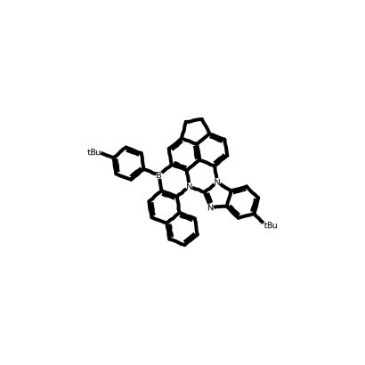 CC(C)(C)c1ccc(B2c3ccc4ccccc4c3-n3c4c2cc2c5c(ccc(c54)n4c5ccc(C(C)(C)C)cc5nc34)CC2)cc1